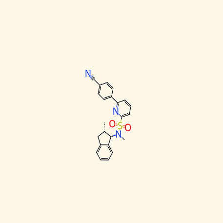 C[C@H]1Cc2ccccc2[C@@H]1N(C)S(=O)(=O)c1cccc(-c2ccc(C#N)cc2)n1